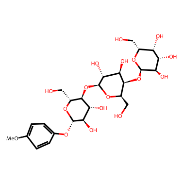 COc1ccc(O[C@@H]2O[C@H](CO)[C@@H](O[C@@H]3O[C@H](CO)[C@H](O[C@H]4O[C@H](CO)[C@H](O)[C@H](O)[C@H]4O)[C@H](O)[C@H]3O)[C@H](O)[C@H]2O)cc1